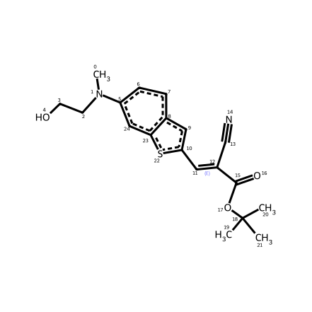 CN(CCO)c1ccc2cc(/C=C(\C#N)C(=O)OC(C)(C)C)sc2c1